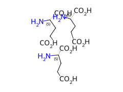 N[C@@H](CCC(=O)O)C(=O)O.N[C@@H](CCC(=O)O)C(=O)O.N[C@@H](CCC(=O)O)C(=O)O